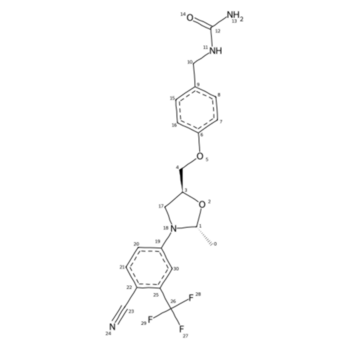 C[C@H]1O[C@H](COc2ccc(CNC(N)=O)cc2)CN1c1ccc(C#N)c(C(F)(F)F)c1